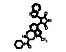 O=C1NC(=O)C(c2cnc3ccccn23)=C1c1ccc2c3c1cc(C(F)(F)F)n3CC(C(=O)N1CCCCC1)NC2